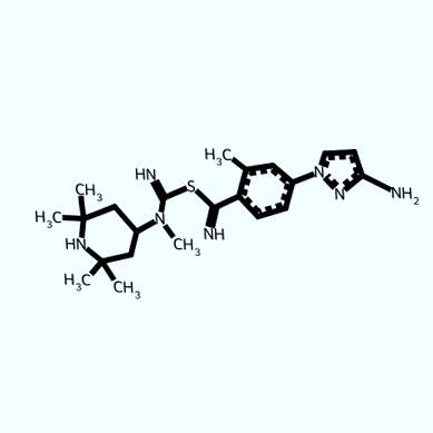 Cc1cc(-n2ccc(N)n2)ccc1C(=N)SC(=N)N(C)C1CC(C)(C)NC(C)(C)C1